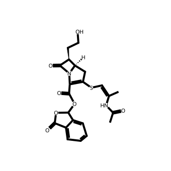 CC(=O)NC(C)=CSC1=C(C(=O)OC2OC(=O)c3ccccc32)N2C(=O)[C@@H](CCO)[C@H]2C1